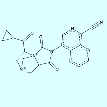 N#Cc1ncc(N2C(=O)C3C[N@]4CC(C(=O)C5CC5)[N+]3(C4)C2=O)c2ccccc12